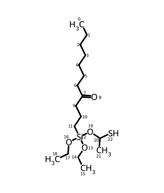 CCCCCCCC(=O)CCC[Si](OCC)(OCC)OC(C)S